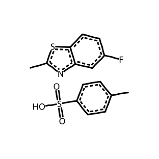 Cc1ccc(S(=O)(=O)O)cc1.Cc1nc2cc(F)ccc2s1